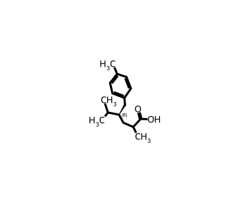 Cc1ccc(C[C@@H](CC(C)C(=O)O)C(C)C)cc1